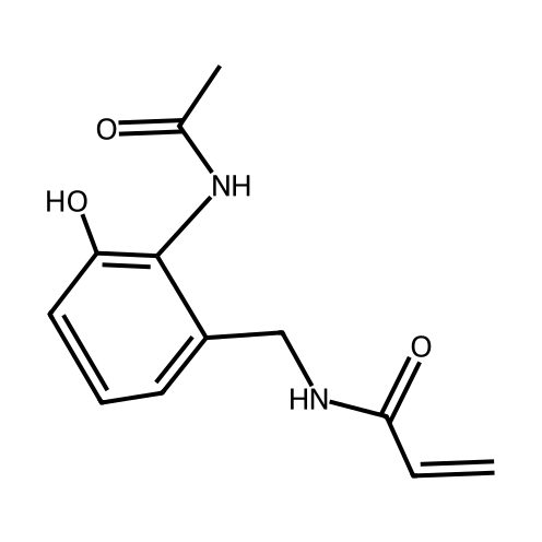 C=CC(=O)NCc1cccc(O)c1NC(C)=O